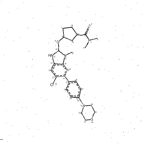 CN(C)C(=O)C1CCC(OC2Nc3cc(Cl)c(-c4ccc(N5CCOCC5)cc4)nc3N2C)C1